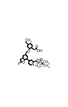 CCc1ccc(CC(=O)O)c(OCc2cc(-c3ccnc(CN[S@@+]([O-])C(C)(C)C)c3)c3oc(F)cc3c2)c1